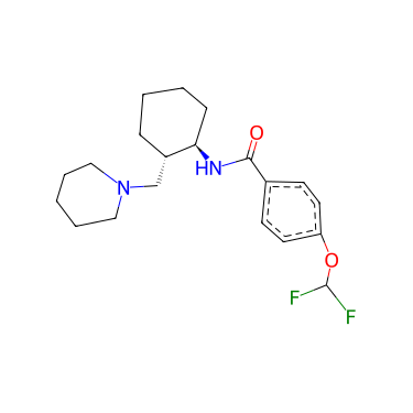 O=C(N[C@@H]1CCCC[C@H]1CN1CCCCC1)c1ccc(OC(F)F)cc1